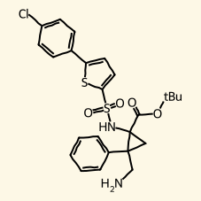 CC(C)(C)OC(=O)C1(NS(=O)(=O)c2ccc(-c3ccc(Cl)cc3)s2)CC1(CN)c1ccccc1